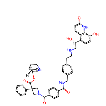 O=C(NCc1ccc(CCNC[C@H](O)c2ccc(O)c3[nH]c(=O)ccc23)cc1)c1ccc(C(=O)N2CC(C(=O)O[C@H]3CN4CCC3CC4)(c3ccccc3)C2)cc1